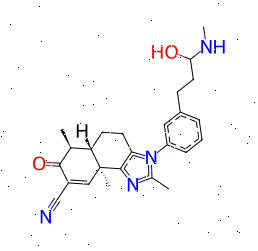 CNC(O)CCc1cccc(-n2c(C)nc3c2CC[C@H]2[C@H](C)C(=O)C(C#N)=C[C@]32C)c1